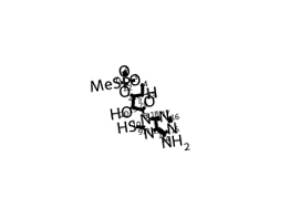 CSP1(=O)OC[C@H]2O[C@@H](n3c(S)nc4c(N)ncnc43)C(O)C2O1